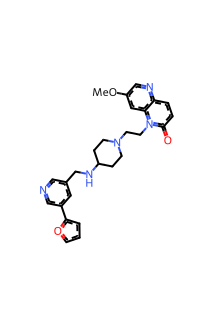 COc1cnc2ccc(=O)n(CCN3CCC(NCc4cncc(-c5ccco5)c4)CC3)c2c1